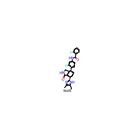 CNCc1[nH]c(-c2ccc(-c3ccc(NC(=O)c4ccccc4F)cc3F)c3c2C(=O)NC3)nc1C